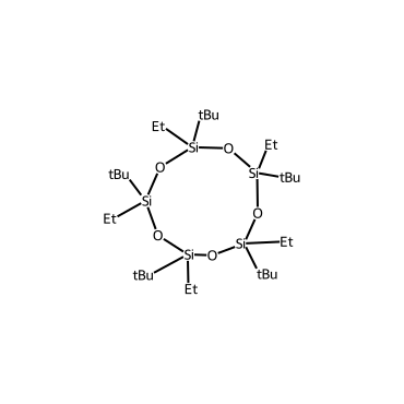 CC[Si]1(C(C)(C)C)O[Si](CC)(C(C)(C)C)O[Si](CC)(C(C)(C)C)O[Si](CC)(C(C)(C)C)O[Si](CC)(C(C)(C)C)O1